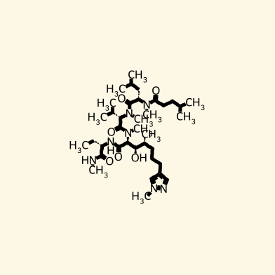 CC[C@H](NC(=O)[C@H]([C@H](O)[C@H](C)CCCc1cnn(C)c1)N(C)C(=O)[C@H](C(C)C)N(C)C(=O)[C@H](CC(C)C)N(C)C(=O)CCC(C)C)C(=O)NC